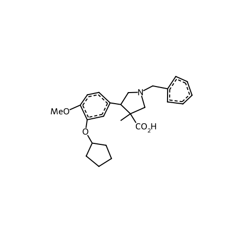 COc1ccc(C2CN(Cc3ccccc3)CC2(C)C(=O)O)cc1OC1CCCC1